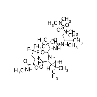 CNC(=O)C(=O)C(CC(F)(F)F)NC(=O)[C@@H]1[C@@H]2[C@H](CN1C(=O)[C@@H](NC(=O)N[C@H](CN(C)S(=O)(=O)N(C)C)C(C)(C)C)C(C)(C)C)C2(C)C